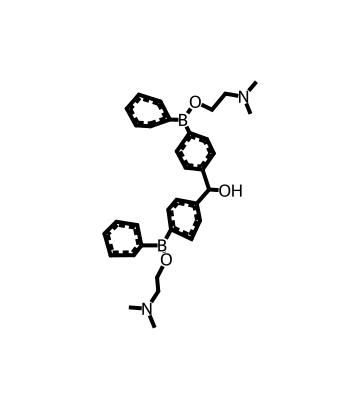 CN(C)CCOB(c1ccccc1)c1ccc(C(O)c2ccc(B(OCCN(C)C)c3ccccc3)cc2)cc1